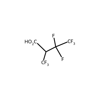 O=C(O)C(C(F)(F)F)C(F)(F)C(F)(F)F